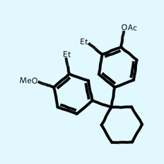 CCc1cc(C2(c3ccc(OC(C)=O)c(CC)c3)CCCCC2)ccc1OC